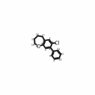 Clc1cc2c(cc1-c1ccccc1)OCCCC2